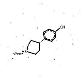 CCCCC[Si@H]1CC[C@H](c2ccc(C#N)cc2)CC1